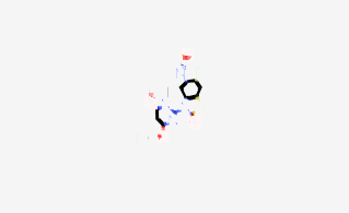 COc1cc(OC)nc(-n2c(=O)sc3cc(F)c(N=C=O)cc32)n1